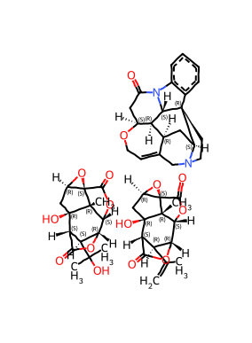 C=C(C)[C@@H]1[C@H]2OC(=O)[C@@H]1[C@]1(O)C[C@H]3O[C@]34C(=O)O[C@H]2[C@]14C.CC(C)(O)[C@@H]1[C@H]2OC(=O)[C@@H]1[C@]1(O)C[C@H]3O[C@]34C(=O)O[C@H]2[C@]14C.O=C1C[C@@H]2OCC=C3CN4CC[C@]56c7ccccc7N1[C@H]5[C@H]2[C@H]3C[C@H]46